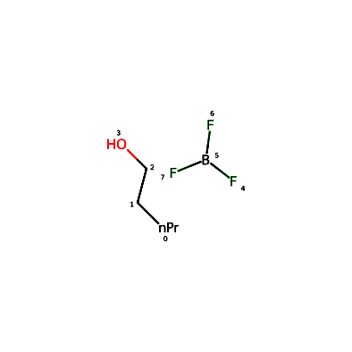 CCCCCO.FB(F)F